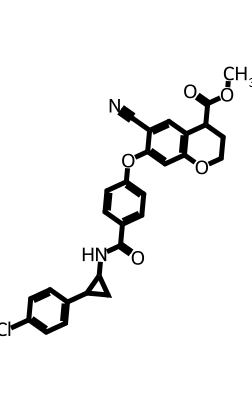 COC(=O)C1CCOc2cc(Oc3ccc(C(=O)NC4CC4c4ccc(Cl)cc4)cc3)c(C#N)cc21